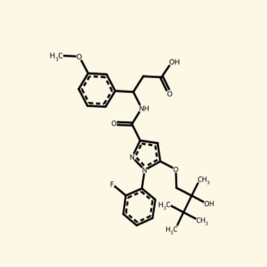 COc1cccc(C(CC(=O)O)NC(=O)c2cc(OCC(C)(O)C(C)(C)C)n(-c3ccccc3F)n2)c1